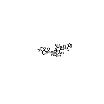 CC1(C)CCOc2c(C(=O)NC3CN4C(=N)N[C@@H](CNC(=O)c5cccs5)C5NC(=N)NC54[C@@H]3O)cccc21